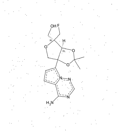 CC1(C)O[C@H]2C(c3ccc4c(N)ncnn34)(CO[C@@]2(CO)CF)O1